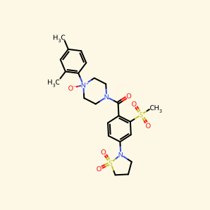 Cc1ccc([N+]2([O-])CCN(C(=O)c3ccc(N4CCCS4(=O)=O)cc3S(C)(=O)=O)CC2)c(C)c1